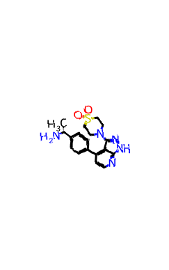 C[C@@H](N)c1ccc(-c2ccnc3[nH]nc(N4CCS(=O)(=O)CC4)c23)cc1